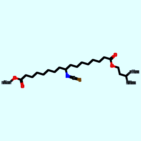 CCCCCCCCCOC(=O)CCCCCCCC(CCCCCCCC(=O)OCCC(CCCCCC)CCCCCC)N=C=S